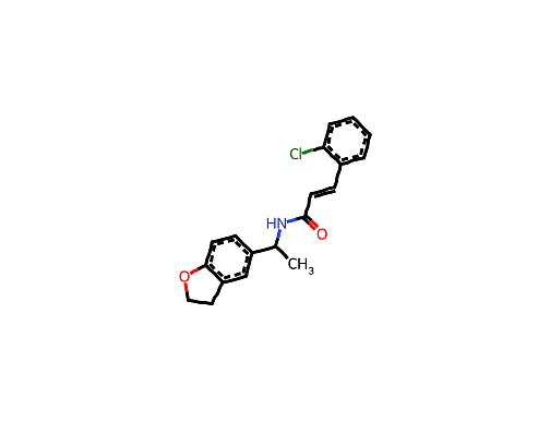 CC(NC(=O)C=Cc1ccccc1Cl)c1ccc2c(c1)CCO2